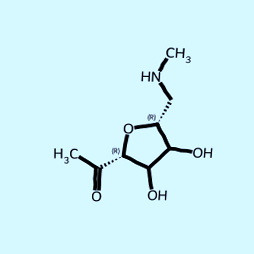 CNC[C@H]1O[C@@H](C(C)=O)C(O)C1O